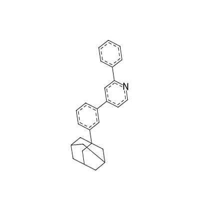 c1ccc(-c2cc(-c3cccc(C45CC6CC(CC(C6)C4)C5)c3)ccn2)cc1